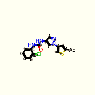 CC(=O)c1cc(-n2cc(NC(=O)Nc3ccccc3Cl)cn2)cs1